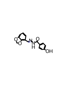 O=C(N/N=C/c1cccc2c1OCO2)c1ccc(O)cc1